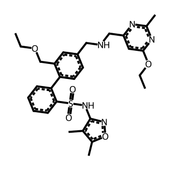 CCOCc1cc(CNCc2cc(OCC)nc(C)n2)ccc1-c1ccccc1S(=O)(=O)Nc1noc(C)c1C